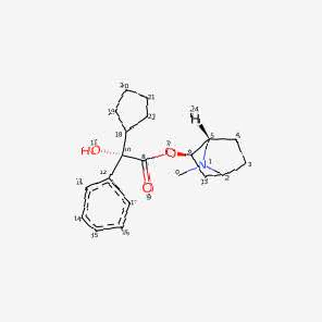 CN1C2CC[C@H]1[C@H](OC(=O)[C@@](O)(c1ccccc1)C1CCCC1)C2